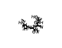 CCNc1cc(NC=c2sc(=C(C#N)C(=O)NC(C)(C)CO)n(CC)c2=O)ccn1